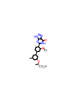 CCOc1cc(-c2cc(C)cc(O[C@H](C)C(=O)O)c2)ccc1-c1nc2[nH]nnc2c(=O)[nH]1